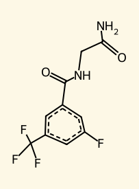 NC(=O)CNC(=O)c1cc(F)cc(C(F)(F)F)c1